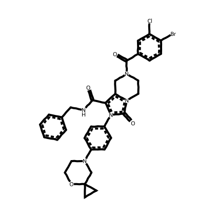 O=C(NCc1ccccc1)c1c2n(c(=O)n1-c1ccc(N3CCOC4(CC4)C3)cc1)CCN(C(=O)c1ccc(Br)c(Cl)c1)C2